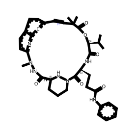 CC(C)[C@@H]1OC(=O)C(C)(C)/C=C/c2ccc3ccc(nc3c2)N(C)NC(=O)[C@@H]2CCCN(N2)C(=O)[C@H](CCC(=O)Nc2ccccc2)NC1=O